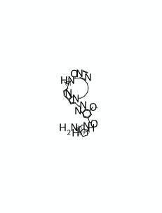 COc1cc(C(=O)N2C[C@H](N)[C@H]3CC[C@@H]2C3)cc2nc(-c3cc4ccc5nc4n3CCCCCc3nccnc3C(=O)N[C@@H]5C)n(C)c12